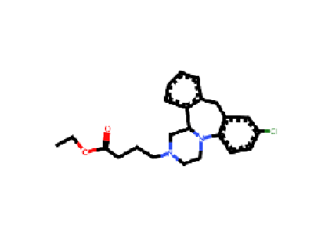 CCOC(=O)CCCN1CCN2c3ccc(Cl)cc3Cc3ccccc3C2C1